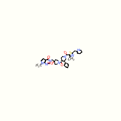 Cc1nc(Cc2ccccn2)sc1C(=O)N1CC[C@@H](C(=O)N2CCC(O)(Cn3cnc4c(ccn4C)c3=O)CC2)[C@H](c2ccccc2)C1